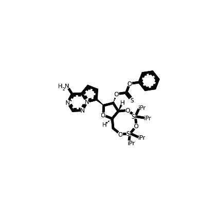 CC(C)[Si]1(C(C)C)OC[C@H]2O[C@@H](c3ccc4c(N)ncnn34)[C@H](OC(=S)Oc3ccccc3)[C@@H]2O[Si](C(C)C)(C(C)C)O1